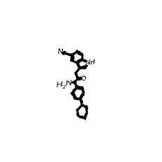 N#Cc1ccc2[nH]cc(CC(=O)C(N)c3ccc(C4CCCCC4)cc3)c2c1